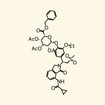 CCOc1cc([C@@H](CS(C)(=O)=O)N2Cc3cccc(NC(=O)C4CC4)c3C2=O)ccc1O[C@@H]1O[C@H](C(=O)OCc2ccccc2)[C@@H](OC(C)=O)[C@H](OC(C)=O)[C@H]1OC(C)=O